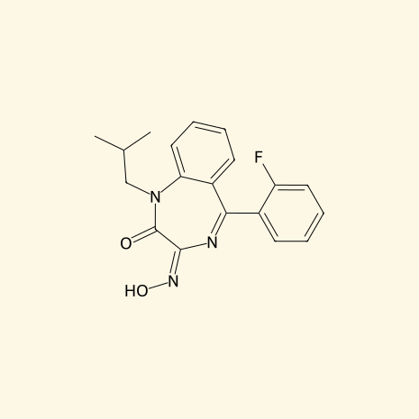 CC(C)Cn1c(=O)c(=NO)nc(-c2ccccc2F)c2ccccc21